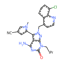 CC(C)Cn1c(=O)nc(N)c2c(-c3cc(C#N)cn3C)n(Cc3ccnc4c(Cl)cccc34)nc21